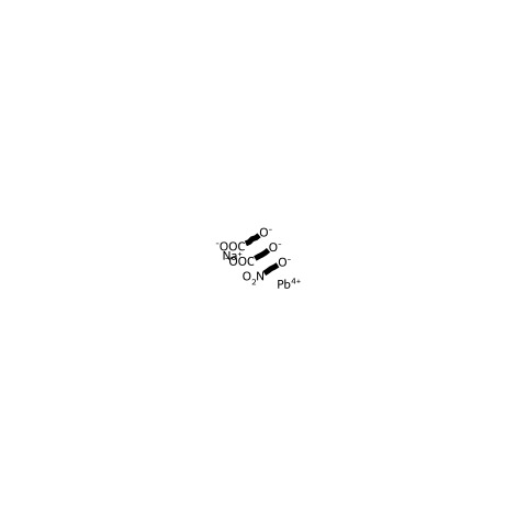 O=C([O-])[O-].O=C([O-])[O-].O=[N+]([O-])[O-].[Na+].[Pb+4]